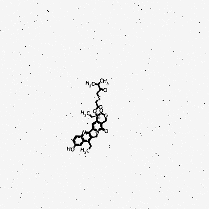 CCc1c2c(nc3ccc(O)cc13)-c1cc3c(c(=O)n1C2)COC(=O)[C@@]3(CC)OC(=O)CSCC(=O)C(C)C